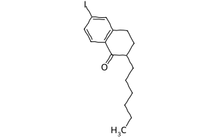 CCCCCCC1CCc2cc(I)ccc2C1=O